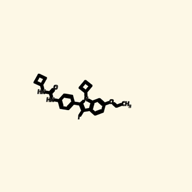 CCOc1ccc2c(I)c(-c3ccc(NC(=O)NC4CCC4)cc3)n(C3CCC3)c2c1